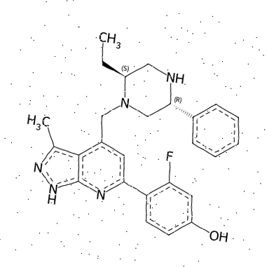 CC[C@H]1CN[C@H](c2ccccc2)CN1Cc1cc(-c2ccc(O)cc2F)nc2[nH]nc(C)c12